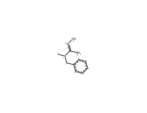 CN(Cc1ccccc1)/C(N)=N/O